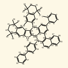 Cc1ccccc1-c1cc2c3c(c1)N(c1cc4c(cc1C)C(C)(C)CCC4(C)C)c1c(oc4cc5c(cc14)C(C)(C)CCC5(C)C)B3N(c1ccc(-c3ccccc3)cc1)c1ccc3ccccc3c1-2